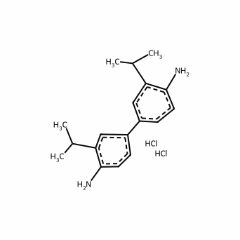 CC(C)c1cc(-c2ccc(N)c(C(C)C)c2)ccc1N.Cl.Cl